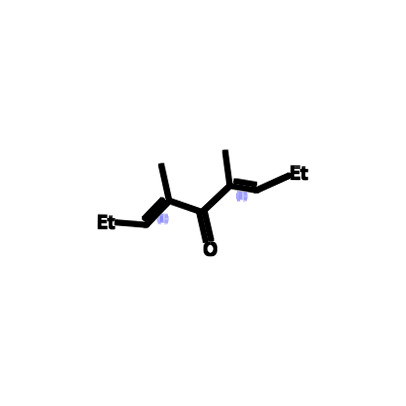 CC/C=C(\C)C(=O)/C(C)=C/CC